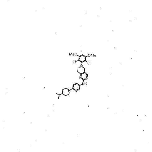 COc1cc(OC)c(Cl)c(N2CCc3nc(Nc4ccc(N5CCC(N(C)C)CC5)nc4)ncc3C2)c1Cl